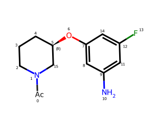 CC(=O)N1CCC[C@@H](Oc2cc(N)cc(F)c2)C1